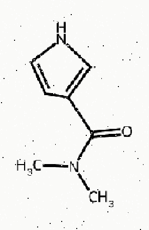 CN(C)C(=O)c1[c][nH]cc1